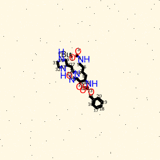 CC(C)(C)OC(=O)NCCCCC(NC(=O)OCc1ccccc1)C(O)c1noc(CC2CNCCN2)n1